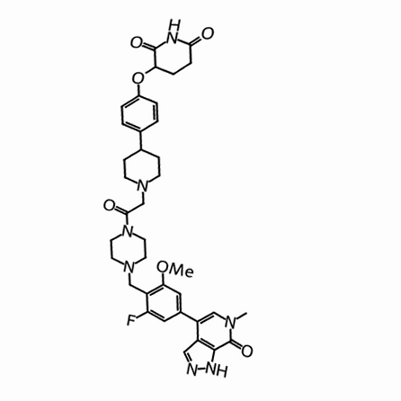 COc1cc(-c2cn(C)c(=O)c3[nH]ncc23)cc(F)c1CN1CCN(C(=O)CN2CCC(c3ccc(OC4CCC(=O)NC4=O)cc3)CC2)CC1